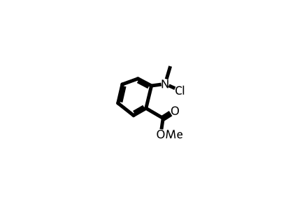 COC(=O)c1ccccc1N(C)Cl